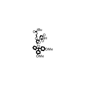 COc1ccc(C(OC[C@@H]2C[C@@H](OCCSC(=O)C(C)(C)C)[C@H](n3ccc(=O)[nH]c3=O)O2)(c2ccccc2)c2ccc(OC)cc2)cc1